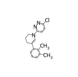 Cc1cccc(C2=CN(c3ccc(Cl)nn3)CCC2)c1C